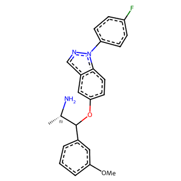 COc1cccc(C(Oc2ccc3c(cnn3-c3ccc(F)cc3)c2)[C@H](C)N)c1